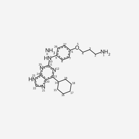 N.NCCCOc1ccc(Nc2nc(C3CCCCC3)c3nc[nH]c3n2)cc1